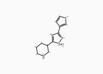 Cl.c1cc(-c2noc(C3CCCNC3)n2)cs1